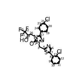 O=c1n(Cc2ncc(-c3ccccc3Cl)s2)nc(-c2ccc(Cl)cc2)n1C[C@H](O)C(F)(F)F